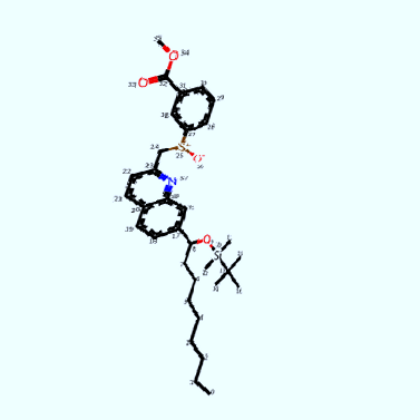 CCCCCCCCC(O[Si](C)(C)C(C)(C)C)c1ccc2ccc(C[S+]([O-])c3cccc(C(=O)OC)c3)nc2c1